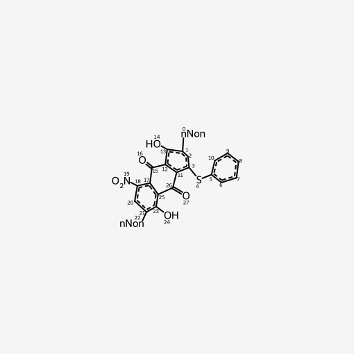 CCCCCCCCCc1cc(Sc2ccccc2)c2c(c1O)C(=O)c1c([N+](=O)[O-])cc(CCCCCCCCC)c(O)c1C2=O